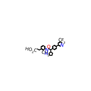 Cc1c(CCC(=O)O)cccc1NC(=O)C(c1ccc(-c2cncc(C(F)(F)F)c2)cc1)C1CCCC1